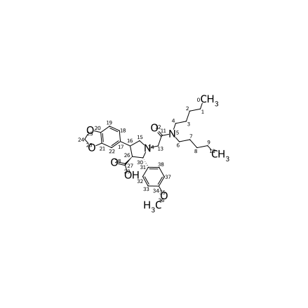 CCCCCN(CCCCC)C(=O)CN1CC(c2ccc3c(c2)OCO3)[C@H](C(=O)O)[C@H]1c1ccc(OC)cc1